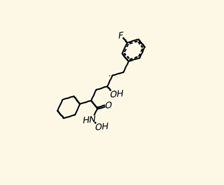 O=C(NO)C(CC(O)[CH]Cc1cccc(F)c1)C1CCCCC1